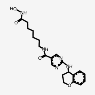 O=C(CCCCCCNC(=O)c1cnc(NC2CCOc3ccccc32)nc1)NO